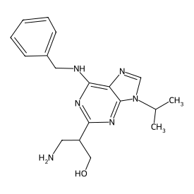 CC(C)n1cnc2c(NCc3ccccc3)nc(C(CN)CO)nc21